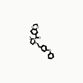 C[C@@H]1CC[C@H](CCc2ccc(Oc3ccccc3)cc2)N1C(=O)c1ccc2c(c1)OCCO2